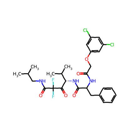 CC(C)CNC(=O)C(F)(F)C(=O)[C@@H](NC(=O)C(Cc1ccccc1)NC(=O)COc1cc(Cl)cc(Cl)c1)C(C)C